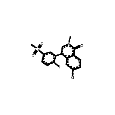 Cn1cc(-c2cc(S(C)(=O)=O)ccc2F)c2cc(Cl)ccc2c1=O